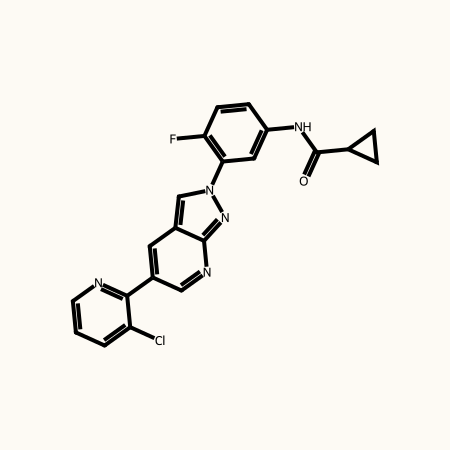 O=C(Nc1ccc(F)c(-n2cc3cc(-c4ncccc4Cl)cnc3n2)c1)C1CC1